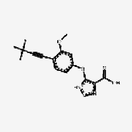 COc1cc(Oc2[nH]nnc2C(=O)O)ccc1C#CC(C)(C)C